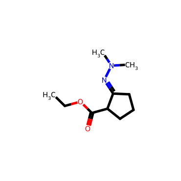 CCOC(=O)C1CCCC1=NN(C)C